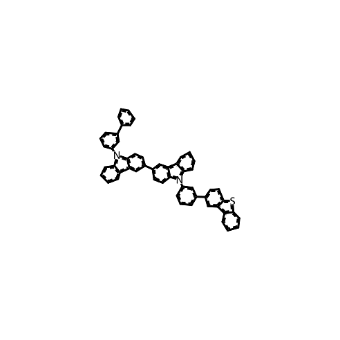 c1ccc(-c2cccc(-n3c4ccccc4c4cc(-c5ccc6c(c5)c5ccccc5n6-c5cccc(-c6ccc7sc8ccccc8c7c6)c5)ccc43)c2)cc1